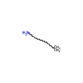 CC(C)=CCCCCCCCCCCCCCCCCCCCN